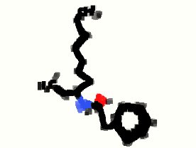 CCCCCCCC(CC)NC(=O)Cc1ccccc1